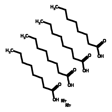 CCCCCCCC(=O)O.CCCCCCCC(=O)O.CCCCCCCC(=O)O.CCCCCCCC(=O)O.[Rh].[Rh]